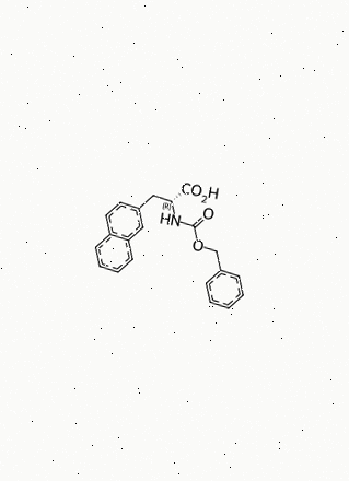 O=C(N[C@H](Cc1ccc2ccccc2c1)C(=O)O)OCc1ccccc1